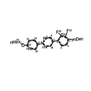 CCCCCCCCCCc1ccc(-c2cnc(-c3ccc(OCCCCCC)nc3)nc2)c(F)c1F